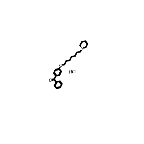 Cl.O=C(c1ccccc1)c1ccc(OCCCCCCCN2CCCCC2)cc1